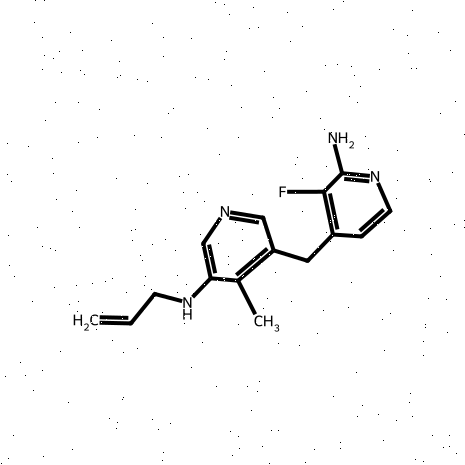 C=CCNc1cncc(Cc2ccnc(N)c2F)c1C